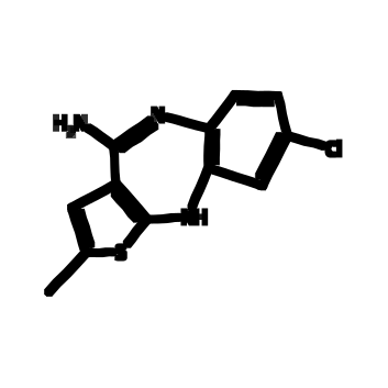 Cc1cc2c(s1)Nc1cc(Cl)ccc1N=C2N